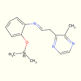 Cc1nccnc1CC=Nc1ccccc1O[SiH](C)C